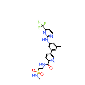 CNS(=O)(=O)CCNC(=O)c1ccc(-c2cc(C)cc(Nc3nccc(C(F)(F)F)n3)c2)cn1